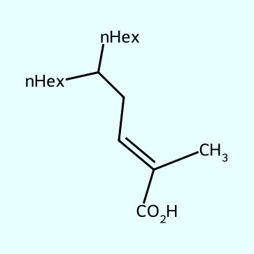 CCCCCCC(CC=C(C)C(=O)O)CCCCCC